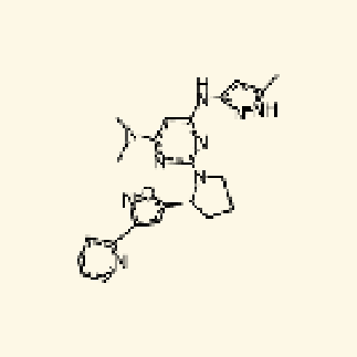 Cc1cc(Nc2cc(N(C)C)nc(N3CCC[C@H]3c3cc(-c4ccccn4)no3)n2)n[nH]1